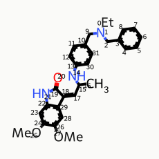 CCN(Cc1ccccc1)Cc1ccc(NC(C)C=C2C(=O)Nc3cc(OC)c(OC)cc32)cc1